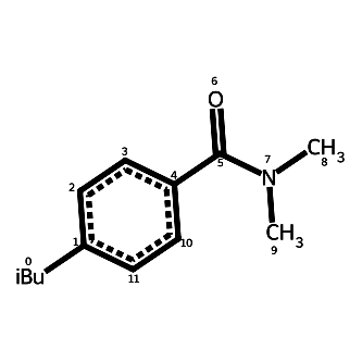 CCC(C)c1ccc(C(=O)N(C)C)cc1